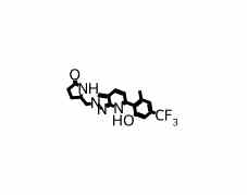 Cc1cc(C(F)(F)F)cc(O)c1-c1ccc2cn(CC3CCC(=O)N3)nc2n1